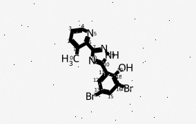 Cc1cccnc1-c1n[nH]c(-c2cc(Br)cc(Br)c2O)n1